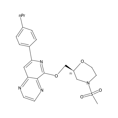 CCCc1ccc(-c2cc3nccnc3c(OC[C@@H]3CN(S(C)(=O)=O)CCO3)n2)cc1